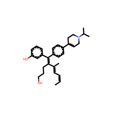 C\C=C/C=C(C)/C(CCCO)=C(\c1ccc(C2=CCN(C(C)C)CC2)cc1)c1cccc(O)c1